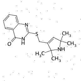 CC1(C)C=C(CSc2nc3ccccc3c(=O)[nH]2)C(C)(C)N1